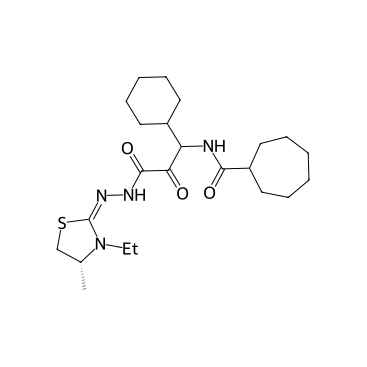 CCN1C(=NNC(=O)C(=O)C(NC(=O)C2CCCCCC2)C2CCCCC2)SC[C@H]1C